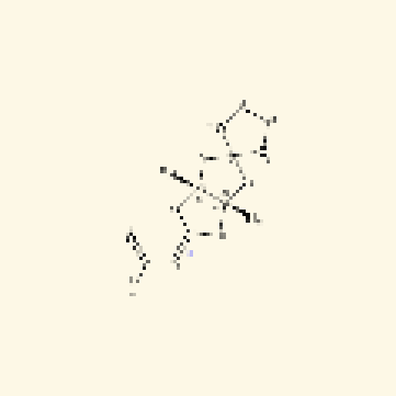 O=C(O)/C=C1\C[C@@H]2CC3(C[C@@H]2C1)OCCO3